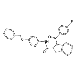 O=C(Nc1ccc(SCc2ccccc2)cc1)C1Cc2ccccc2N1C(=O)c1ccc(F)cc1